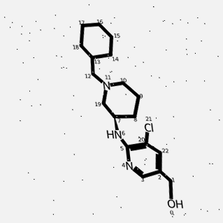 OCc1cnc(N[C@@H]2CCCN(CC3CCCCC3)C2)c(Cl)c1